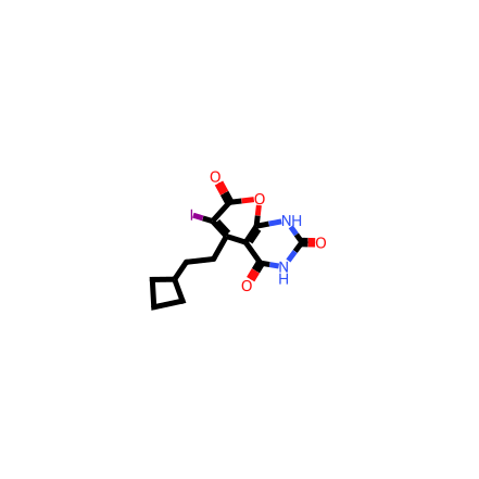 O=c1[nH]c(=O)c2c(CCC3CCC3)c(I)c(=O)oc2[nH]1